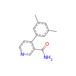 Cc1cc(C)cc(-c2ccncc2C(N)=O)c1